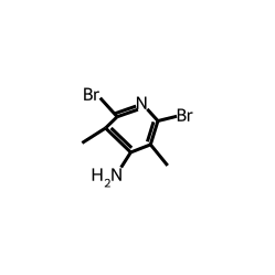 Cc1c(Br)nc(Br)c(C)c1N